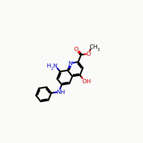 COC(=O)c1cc(O)c2cc(Nc3ccccc3)cc(N)c2n1